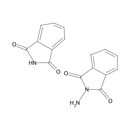 NN1C(=O)c2ccccc2C1=O.O=C1NC(=O)c2ccccc21